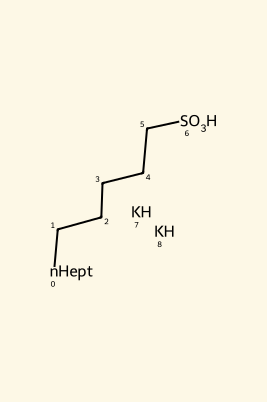 CCCCCCCCCCCCS(=O)(=O)O.[KH].[KH]